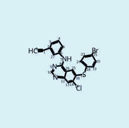 C#Cc1cccc(Nc2ncnc3cc(Cl)c(Sc4ccc(Br)cc4)cc23)c1